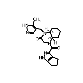 Cc1[nH]ncc1CN1C(=O)CN(C(=O)c2n[nH]c3c2CCC3)[C@H]2CCCC[C@@H]21